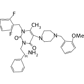 COc1ccccc1CN1CCN(c2c(C)n(Cc3c(F)cccc3F)c(=O)n(C[C@H](N)c3ccccc3)c2=O)CC1